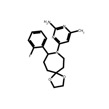 Cc1cc(N2CCC3(CCC2c2ccccc2F)OCCO3)nc(N)n1